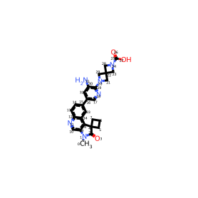 CN1C(=O)C2(CCC2)c2c1cnc1ccc(-c3cnc(N4CC5(CN(C(=O)O)C5)C4)c(N)c3)cc21